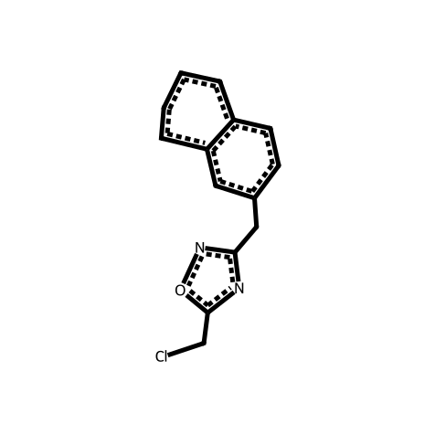 ClCc1nc(Cc2ccc3ccccc3c2)no1